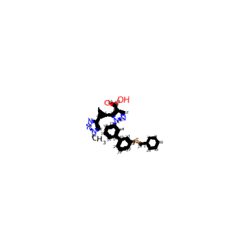 Cn1cc(C2CC2c2c(C(=O)O)cnn2-c2cccc(-c3cccc(SCC4CCCCC4)c3)c2)nn1